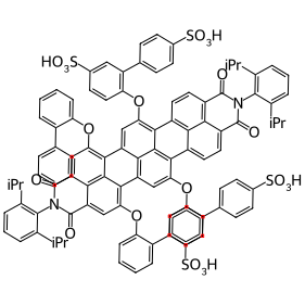 CC(C)c1cccc(C(C)C)c1N1C(=O)c2ccc3c4c(Oc5ccc(S(=O)(=O)O)cc5-c5ccc(S(=O)(=O)O)cc5)cc5c6c(Oc7ccccc7-c7ccccc7)cc7c8c(cc(Oc9ccccc9-c9ccccc9)c(c9cc(Oc%10ccc(S(=O)(=O)O)cc%10-c%10ccc(S(=O)(=O)O)cc%10)c(c%10ccc(c2c3%10)C1=O)c4c59)c86)C(=O)N(c1c(C(C)C)cccc1C(C)C)C7=O